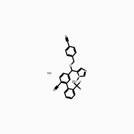 Cl.Cn1cncc1C(OCc1ccc(C#N)cc1)c1ccc(C#N)c(-c2ccccc2C(F)(F)F)c1